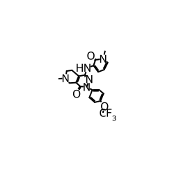 CN1CCc2c(Nc3cccn(C)c3=O)nn(-c3ccc(OC(F)(F)F)cc3)c(=O)c2C1